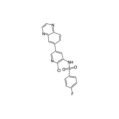 O=S(=O)(Nc1cc(-c2ccc3nccnc3c2)cnc1Cl)c1ccc(F)cc1